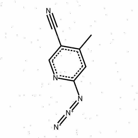 Cc1cc(N=[N+]=[N-])ncc1C#N